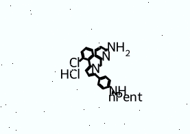 CCCCCNc1ccc(-c2ccc(-c3ccccc3Cl)n2Cc2cccc(N)n2)cc1.Cl